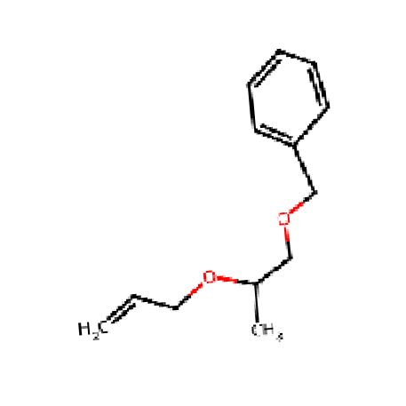 C=CCO[C](C)COCc1ccccc1